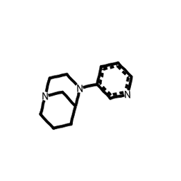 c1cncc(N2CCN3CCCC2C3)c1